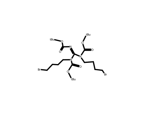 CC(C)(C)OC(=O)N=C(N(CCCCBr)C(=O)OC(C)(C)C)N(CCCCBr)C(=O)OC(C)(C)C